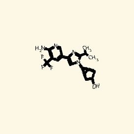 CC(C)c1nc(-c2cnc(N)c(C(F)(F)F)c2)cn1C1C2CC(O)CC21